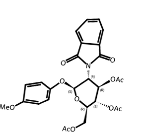 COc1ccc(O[C@@H]2O[C@H](COC(C)=O)[C@@H](OC(C)=O)[C@H](OC(C)=O)[C@H]2N2C(=O)c3ccccc3C2=O)cc1